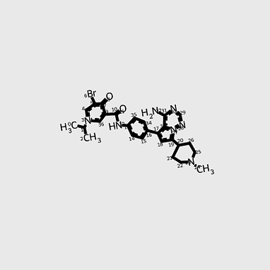 CC(C)n1cc(Br)c(=O)c(C(=O)Nc2ccc(-c3cc(C4CCN(C)CC4)n4ncnc(N)c34)cc2)c1